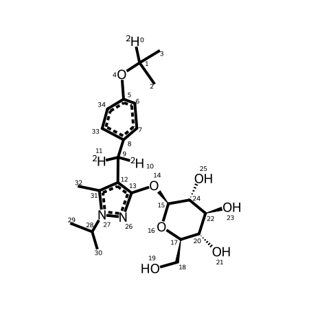 [2H]C(C)(C)Oc1ccc(C([2H])([2H])c2c(O[C@@H]3O[C@H](CO)[C@@H](O)[C@H](O)[C@H]3O)nn(C(C)C)c2C)cc1